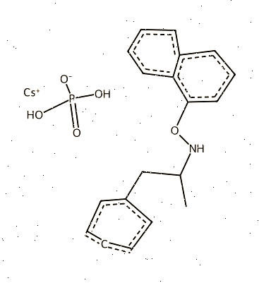 CC(Cc1ccccc1)NOc1cccc2ccccc12.O=P([O-])(O)O.[Cs+]